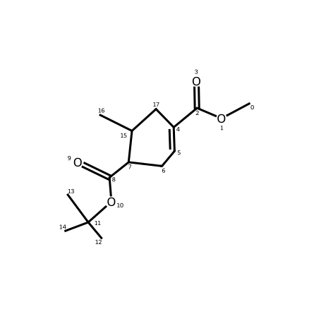 COC(=O)C1=CCC(C(=O)OC(C)(C)C)C(C)C1